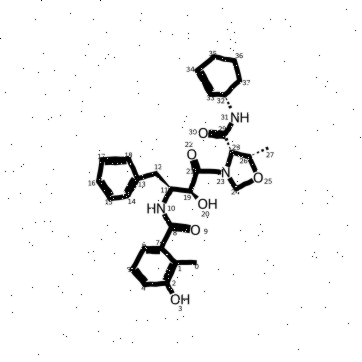 Cc1c(O)cccc1C(=O)N[C@@H](Cc1ccccc1)[C@H](O)C(=O)N1CO[C@@H](C)[C@H]1C(=O)N[C@@H]1C=CCCC1